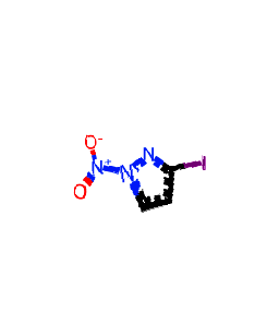 O=[N+]([O-])n1ccc(I)n1